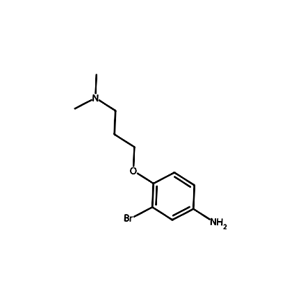 CN(C)CCCOc1ccc(N)cc1Br